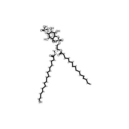 CCCCCCCCCCCCCCCC(=O)O[C@H](COC(=O)CCCCCCCCCCCCCCCCS)COP(=O)(O)OC1C(O)[C@@H](O)C(OP(=O)(O)O)[C@@H](O)[C@H]1O